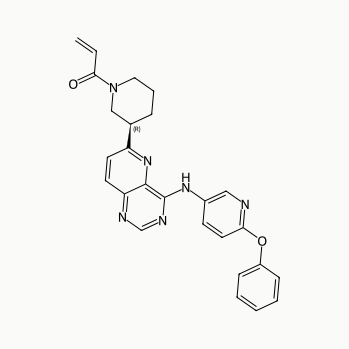 C=CC(=O)N1CCC[C@@H](c2ccc3ncnc(Nc4ccc(Oc5ccccc5)nc4)c3n2)C1